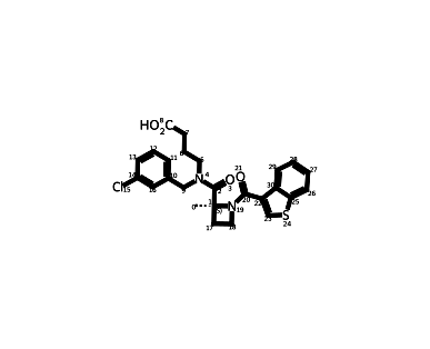 C[C@@]1(C(=O)N(CCCC(=O)O)Cc2cccc(Cl)c2)CCN1C(=O)c1csc2ccccc12